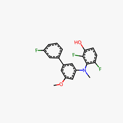 COc1cc(-c2cccc(F)c2)cc(N(C)c2c(F)ccc(O)c2F)c1